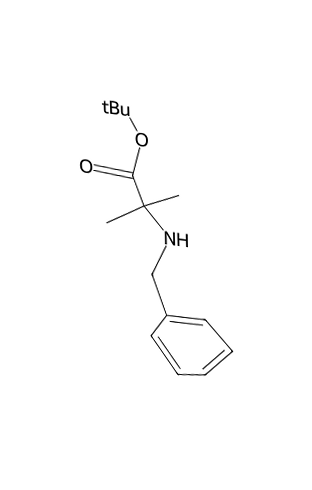 CC(C)(C)OC(=O)C(C)(C)NCc1ccccc1